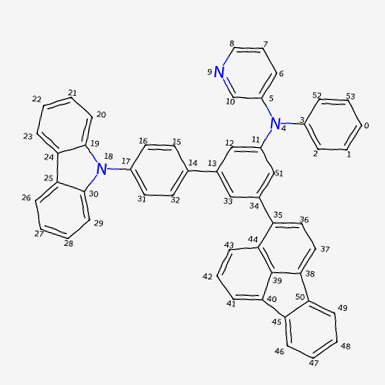 c1ccc(N(c2cccnc2)c2cc(-c3ccc(-n4c5ccccc5c5ccccc54)cc3)cc(-c3ccc4c5c(cccc35)-c3ccccc3-4)c2)cc1